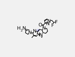 C=NN1C=C(C)C(N2CC[C@H](N)C2)=N/C1=C/C1CCCCN1C(=O)c1ccn(CC(F)F)n1